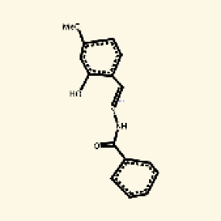 COc1ccc(/C=N/NC(=O)c2ccccc2)c(O)c1